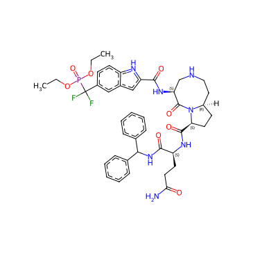 CCOP(=O)(OCC)C(F)(F)c1ccc2[nH]c(C(=O)N[C@H]3CNCC[C@H]4CC[C@@H](C(=O)N[C@@H](CCC(N)=O)C(=O)NC(c5ccccc5)c5ccccc5)N4C3=O)cc2c1